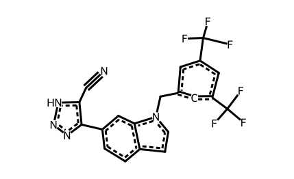 N#Cc1[nH]nnc1-c1ccc2ccn(Cc3cc(C(F)(F)F)cc(C(F)(F)F)c3)c2c1